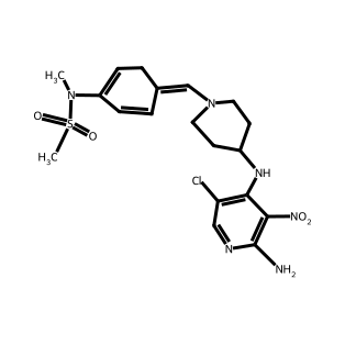 CN(C1=CCC(=CN2CCC(Nc3c(Cl)cnc(N)c3[N+](=O)[O-])CC2)C=C1)S(C)(=O)=O